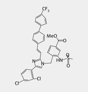 COC(=O)c1ccc(Cn2cc(-c3ccc(Cl)cc3Cl)nc2C=Cc2ccc(-c3ccc(C(F)(F)F)cc3)cc2)c(NS(C)(=O)=O)c1